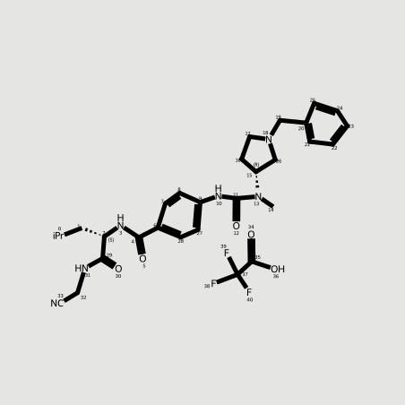 CC(C)C[C@H](NC(=O)c1ccc(NC(=O)N(C)[C@@H]2CCN(Cc3ccccc3)C2)cc1)C(=O)NCC#N.O=C(O)C(F)(F)F